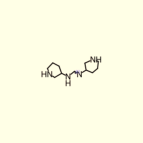 C(=N\C1CCCNC1)/NC1CCCNC1